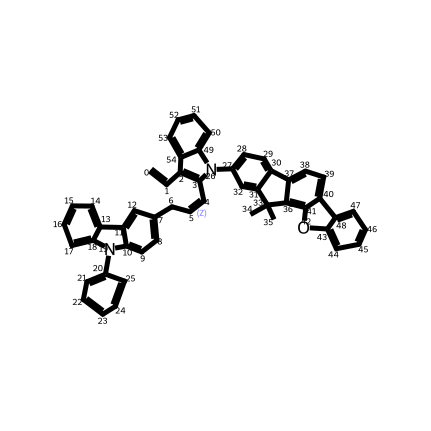 C=Cc1c(/C=C\Cc2ccc3c(c2)c2ccccc2n3-c2ccccc2)n(-c2ccc3c(c2)C(C)(C)c2c-3ccc3c2oc2ccccc23)c2ccccc12